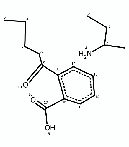 CCC(C)N.CCCCC(=O)c1ccccc1C(=O)O